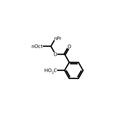 CCCCCCCCC(CCC)OC(=O)c1ccccc1C(=O)O